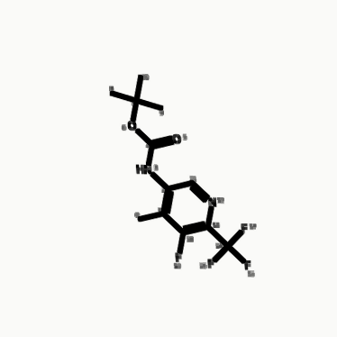 Cc1c(NC(=O)OC(C)(C)C)cnc(C(F)(F)F)c1F